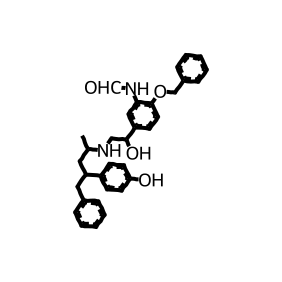 CC(CC(Cc1ccccc1)c1ccc(O)cc1)NCC(O)c1ccc(OCc2ccccc2)c(NC=O)c1